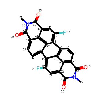 CN1C(=O)c2ccc3c4c(F)cc5c6c(ccc(c7c(F)cc(c2c37)C1=O)c64)C(=O)N(C)C5=O